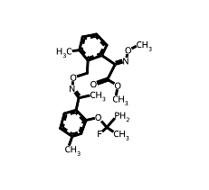 CO/N=C(/C(=O)OC)c1cccc(C)c1CO/N=C(\C)c1ccc(C)cc1OC(C)(F)P